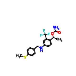 CSc1ccc(CNc2ccc(C(C)OC(N)=O)c(C(F)(F)F)c2)cc1